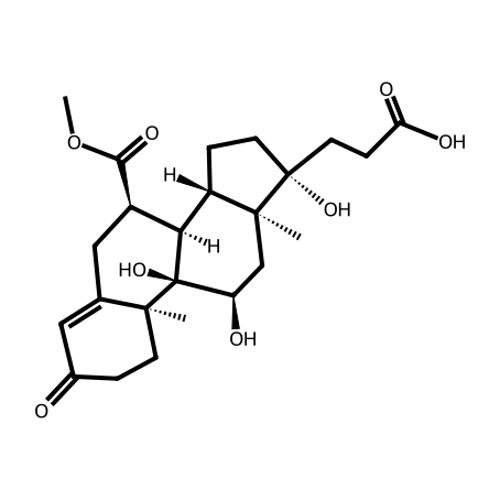 COC(=O)[C@@H]1CC2=CC(=O)CC[C@]2(C)[C@]2(O)[C@@H]1[C@@H]1CC[C@@](O)(CCC(=O)O)[C@@]1(C)C[C@H]2O